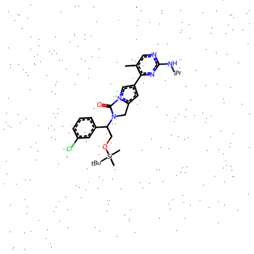 Cc1cnc(NC(C)C)nc1-c1cc2n(c1)C(=O)N(C(CO[Si](C)(C)C(C)(C)C)c1cccc(Cl)c1)C2